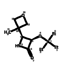 CC[Si](CC)(CC)O[C@H]1C(=O)N[C@H]1C1(C)COC1